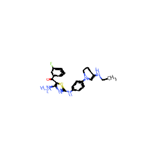 CCNC1CCN(c2ccc(Nc3nc(N)c(C(=O)c4cccc(F)c4)s3)cc2)C1